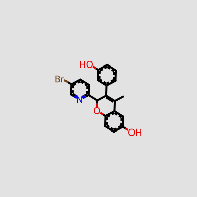 CC1=C(c2cccc(O)c2)C(c2ccc(Br)cn2)Oc2ccc(O)cc21